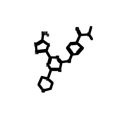 CN(C)C(=O)c1ccc(Oc2nc(-c3nnc(N)s3)nc(N3CCOCC3)n2)cc1